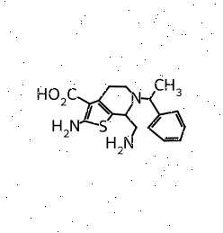 CC(c1ccccc1)N1CCc2c(sc(N)c2C(=O)O)C1CN